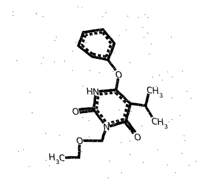 CCOCn1c(=O)[nH]c(Oc2ccccc2)c(C(C)C)c1=O